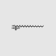 CCCCCCCCCCCCCCCCCCCCCC(O)P(=O)(O)O